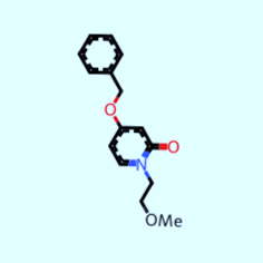 COCCn1ccc(OCc2ccccc2)cc1=O